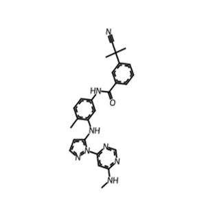 CNc1cc(-n2nccc2Nc2cc(NC(=O)c3cccc(C(C)(C)C#N)c3)ccc2C)ncn1